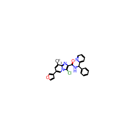 O=C(NC(c1ccccc1)c1ccccn1)c1nc2c(C(F)(F)F)cc(-c3ccoc3)cn2c1Cl